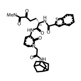 CNC(=O)C(=O)CC[C@H](NC(=O)c1cc2ccccc2s1)C(=O)Nc1cccn(CC(=O)NC2C3CC4CC(C3)C2C4)c1=O